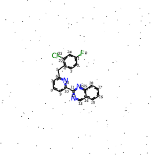 Fc1ccc(Cc2cccc(-c3ncc4ccccc4n3)n2)c(Cl)c1